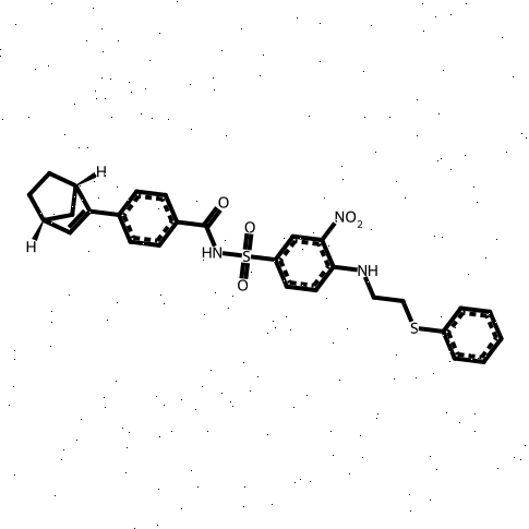 O=C(NS(=O)(=O)c1ccc(NCCSc2ccccc2)c([N+](=O)[O-])c1)c1ccc(C2=C[C@@H]3CC[C@H]2C3)cc1